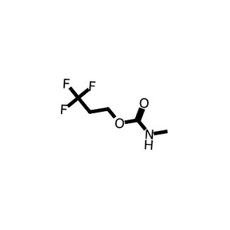 CNC(=O)OCCC(F)(F)F